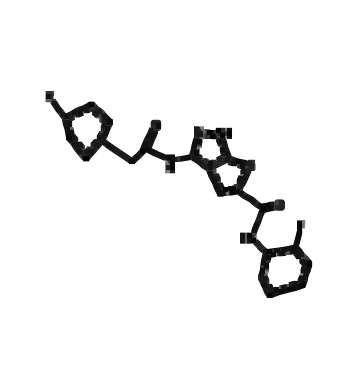 O=C(Cc1ccc(F)cc1)Nc1n[nH]c2sc(C(=O)Nc3ccccc3F)cc12